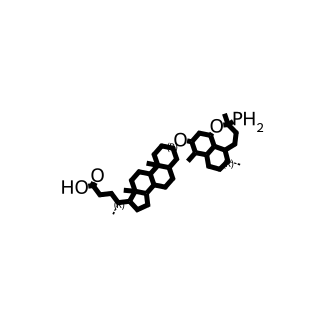 CC1C(O[C@@H]2CCC3(C)C(CCC4C3CCC3(C)C4CCC3[C@H](C)CCC(=O)O)C2)CC2OC(C)(P)CCC3C2C1CC[C@H]3C